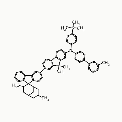 Cc1cccc(-c2ccc(N(c3ccc(S(C)(C)C)cc3)c3ccc4c(c3)C(C)(C)c3cc(-c5ccc6c(c5)-c5ccccc5C65C(C)CC6CC(C)CC5C6)ccc3-4)cc2)c1